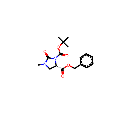 CN1C[C@@H](C(=O)OCc2ccccc2)N(C(=O)OC(C)(C)C)C1=O